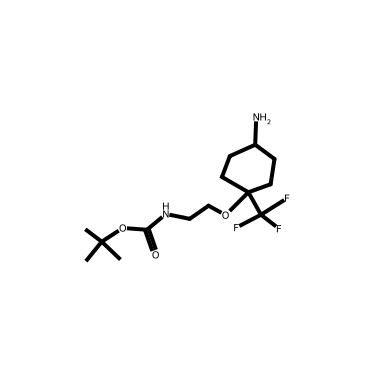 CC(C)(C)OC(=O)NCCOC1(C(F)(F)F)CCC(N)CC1